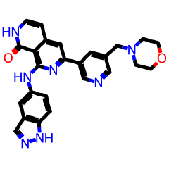 O=c1[nH]ccc2cc(-c3cncc(CN4CCOCC4)c3)nc(Nc3ccc4[nH]ncc4c3)c12